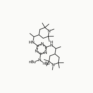 CCCCN(CCCC)c1nc(NC(C)C2CC(C)(C)N(C)C(C)(C)C2)nc(NC(C)C2CC(C)(C)N(C)C(C)(C)C2)n1